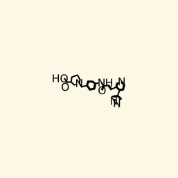 Cn1cc(-c2ccncc2/C=C/C(=O)Nc2ccc(CN3CCCC(C(=O)O)C3)cc2)cn1